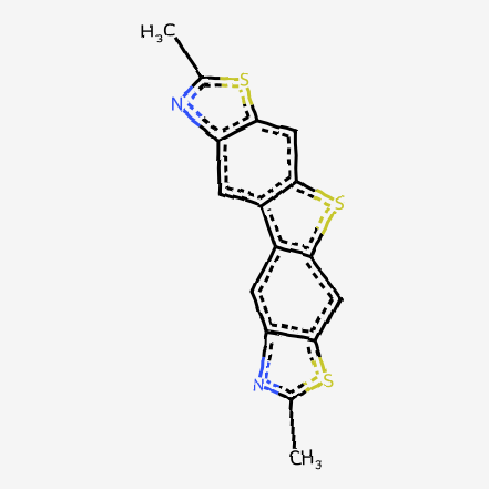 Cc1nc2cc3c(cc2s1)sc1cc2sc(C)nc2cc13